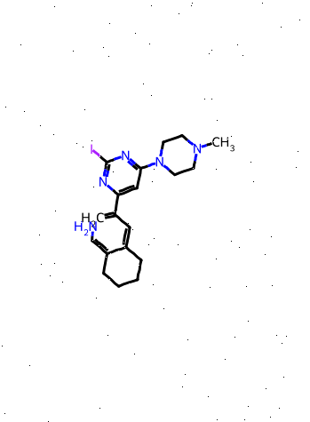 C=C(/C=C1/CCCC/C1=C/N)c1cc(N2CCN(C)CC2)nc(I)n1